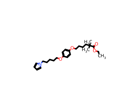 CCOC(=O)C(C)(C)CCCCOc1ccc(OCCCCCn2cccc2)cc1